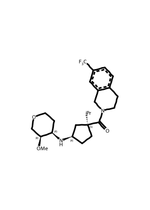 CO[C@H]1COCC[C@H]1N[C@@H]1CC[C@@](C(=O)N2CCc3ccc(C(F)(F)F)cc3C2)(C(C)C)C1